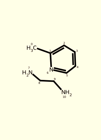 Cc1ccccn1.NCCN